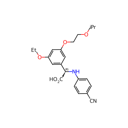 CCOc1cc(OCCOC(C)C)cc([C@@H](Nc2ccc(C#N)cc2)C(=O)O)c1